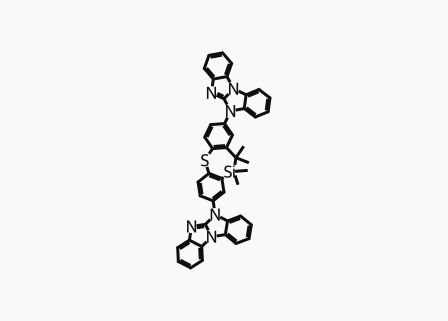 CC1(C)c2cc(-n3c4ccccc4n4c5ccccc5nc34)ccc2Sc2ccc(-n3c4ccccc4n4c5ccccc5nc34)cc2[Si]1(C)C